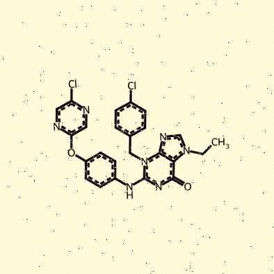 CCn1cnc2c1c(=O)nc(Nc1ccc(Oc3cnc(Cl)cn3)cc1)n2Cc1ccc(Cl)cc1